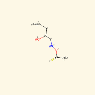 CCCCCCCCC(O)CNOC(=S)CCCC